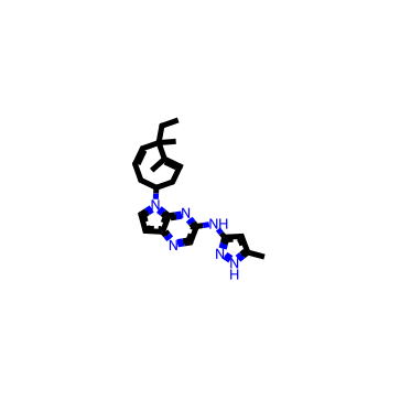 CCC1(C)/C=C\CC(n2ccc3ncc(Nc4cc(C)[nH]n4)nc32)C/C=C/1C